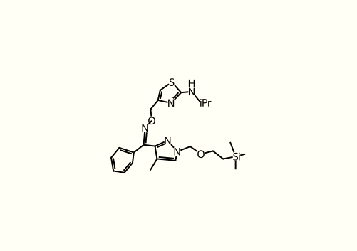 Cc1cn(COCC[Si](C)(C)C)nc1C(=NOCc1csc(NC(C)C)n1)c1ccccc1